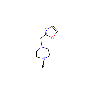 CCN1CCN(Cc2ncco2)CC1